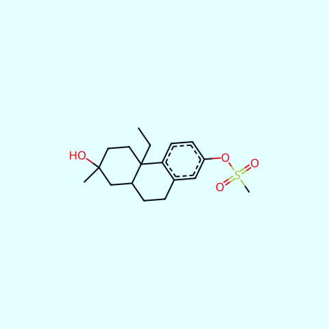 CCC12CCC(C)(O)CC1CCc1cc(OS(C)(=O)=O)ccc12